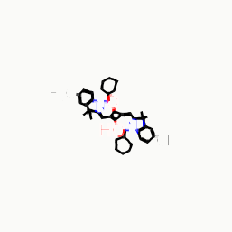 CC1(C)C(/C=C2/C(=O)C(/C=C3\N(CC4CCCCC4)c4ccc(C(F)(F)F)cc4C3(C)C)=C2O)=[N+](CC2CCCCC2)c2ccc(C(F)(F)F)cc21